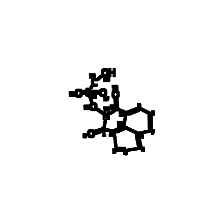 O=C1c2cccc3cccc(c23)C(=O)N1OS(=O)(=O)CO